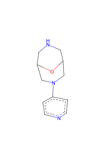 c1cc(N2CC3CNCC(C2)O3)ccn1